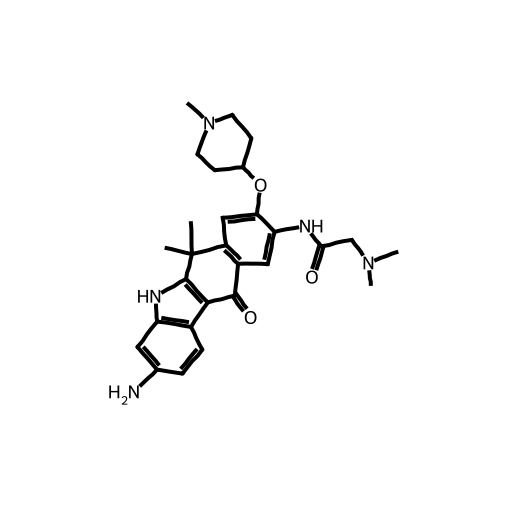 CN(C)CC(=O)Nc1cc2c(cc1OC1CCN(C)CC1)C(C)(C)c1[nH]c3cc(N)ccc3c1C2=O